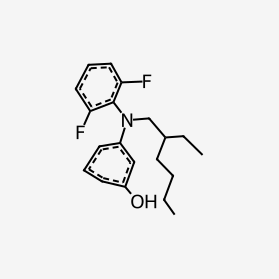 CCCCC(CC)CN(c1cccc(O)c1)c1c(F)cccc1F